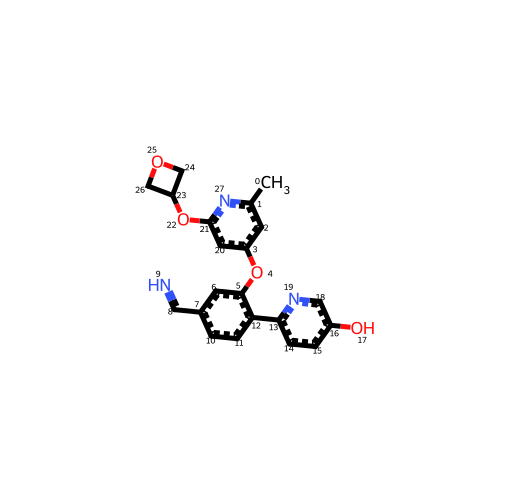 Cc1cc(Oc2cc(C=N)ccc2-c2ccc(O)cn2)cc(OC2COC2)n1